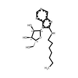 CCCCCCCNc1nc2cncnc2n1[C@@H]1O[C@H](CO)[C@@H](O)[C@H]1O